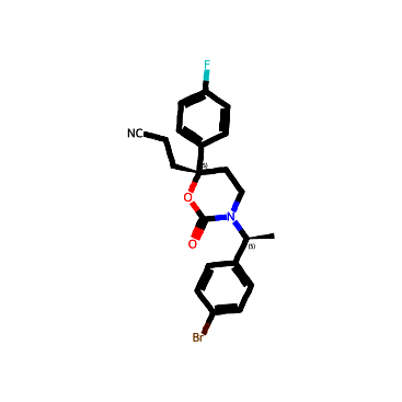 C[C@@H](c1ccc(Br)cc1)N1CC[C@@](CCC#N)(c2ccc(F)cc2)OC1=O